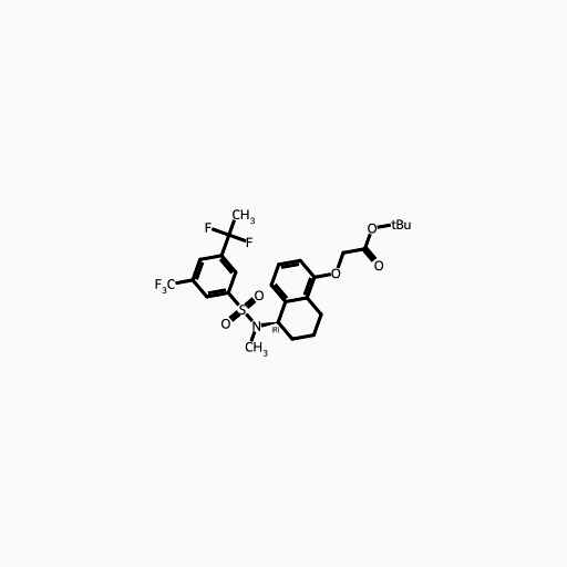 CN([C@@H]1CCCc2c(OCC(=O)OC(C)(C)C)cccc21)S(=O)(=O)c1cc(C(C)(F)F)cc(C(F)(F)F)c1